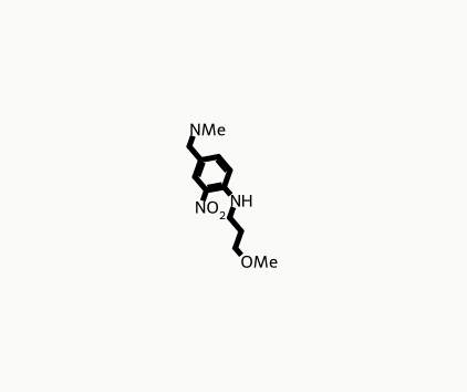 CNCc1ccc(NCCCOC)c([N+](=O)[O-])c1